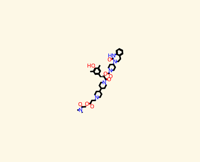 Cc1cc(C[C@@H](OC(=O)N2CCC(N3CCc4ccccc4NC3=O)CC2)C(=O)N2CCC(C3CCN(CCC(=O)OCC(=O)N(C)C)CC3)CC2)cc(C)c1O